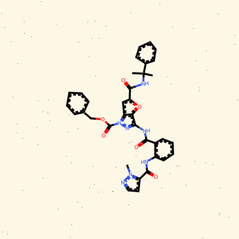 Cn1nccc1C(=O)Nc1ccccc1C(=O)Nc1nn(C(=O)OCc2ccccc2)c2cc(C(=O)NC(C)(C)c3ccccc3)oc12